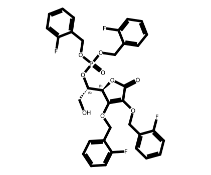 O=C1O[C@H]([C@H](CO)OP(=O)(OCc2ccccc2F)OCc2ccccc2F)C(OCc2ccccc2F)=C1OCc1ccccc1F